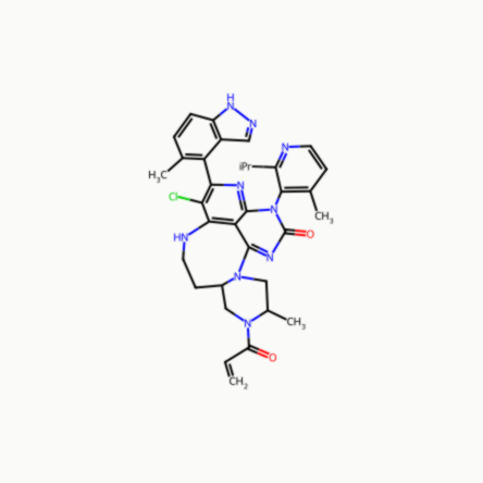 C=CC(=O)N1CC2CCNc3c(Cl)c(-c4c(C)ccc5[nH]ncc45)nc4c3c(nc(=O)n4-c3c(C)ccnc3C(C)C)N2CC1C